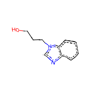 OCCCn1[c]nc2ccccc21